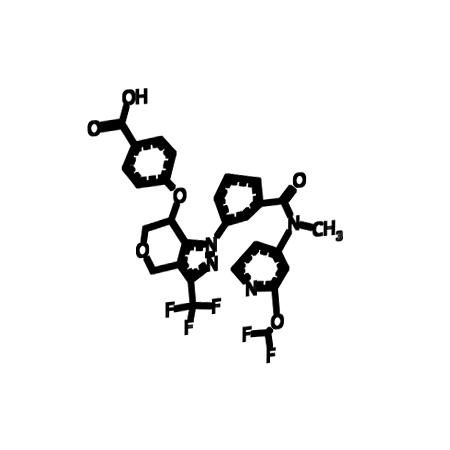 CN(C(=O)c1cccc(-n2nc(C(F)(F)F)c3c2C(Oc2ccc(C(=O)O)cc2)COC3)c1)c1ccnc(OC(F)F)c1